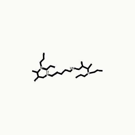 CCCN(CCC)C(C)C(C)CNCCCCCNCC(C)C(C)N(CCC)CCC